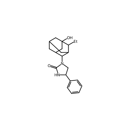 CCC1C2CC3CC(CC1(O)C3)C2N1CC(c2ccccc2)NC1=O